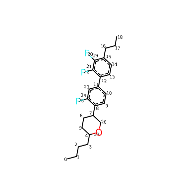 CCCCC1CCC(c2ccc(-c3ccc(CCC)c(F)c3F)cc2F)CO1